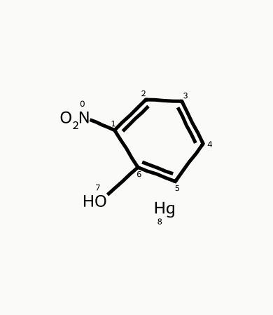 O=[N+]([O-])c1ccccc1O.[Hg]